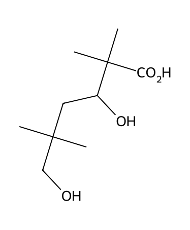 CC(C)(CO)CC(O)C(C)(C)C(=O)O